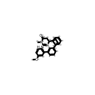 COc1cccc(-c2cccc(C3C4C=CC(CC4)C3C3CC(=O)N(C)C(N)=N3)c2)c1